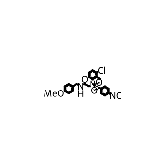 [C-]#[N+]c1ccc(S(=O)(=O)N(CC(=O)NCc2ccc(OC)cc2)c2cccc(Cl)c2C)cc1